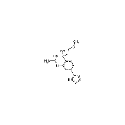 COCCC1(N)NC(N)=Nc2cc(-c3ccn[nH]3)ccc21